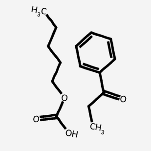 CCC(=O)c1ccccc1.CCCCCOC(=O)O